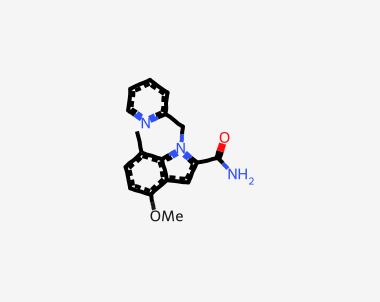 COc1ccc(C)c2c1cc(C(N)=O)n2Cc1ccccn1